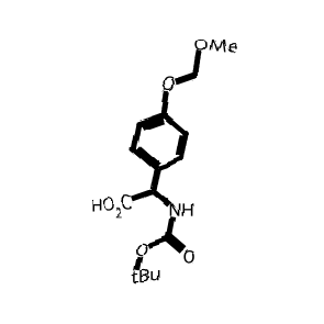 COCOc1ccc(C(NC(=O)OC(C)(C)C)C(=O)O)cc1